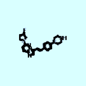 FC1CCN(c2ccc3ncc(/C=C/c4ccc(N5CCNCC5)cc4)n3n2)C1